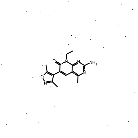 CCn1c(=O)c(-c2c(C)noc2C)cc2c(C)nc(N)nc21